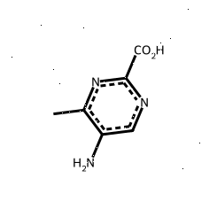 Cc1nc(C(=O)O)ncc1N